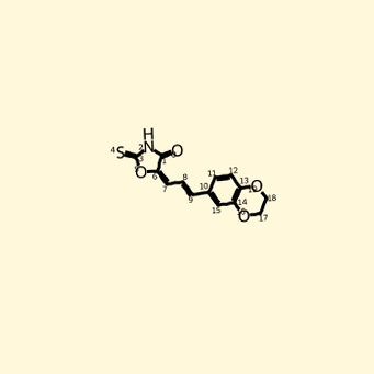 O=C1NC(=S)OC1=CC=Cc1ccc2c(c1)OCCO2